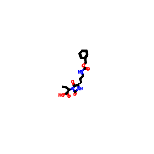 CCC(C(=O)O)N1C(=O)N[C@@H](CCCNC(=O)OCc2ccccc2)C1=O